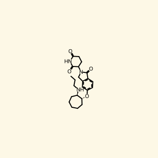 CCCN[C@@H]1CCCCC[C@H]1Oc1ccc2c(c1)CN(C1CCC(=O)NC1=O)C2=O